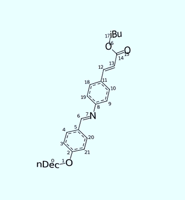 CCCCCCCCCCOc1ccc(C=Nc2ccc(C=CC(=O)OC(C)CC)cc2)cc1